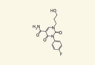 NC(=O)c1cn(CCCO)c(=O)n(-c2ccc(F)cc2)c1=O